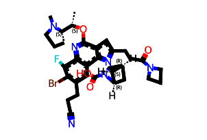 C[C@H](Oc1nc2c(F)c(Br)c(CCC#N)cc2c2c1cc(CCC(=O)N1CCC1)n2[C@H]1[C@@H]2C[C@H]1N(C(=O)O)C2)[C@@H]1CCCN1C